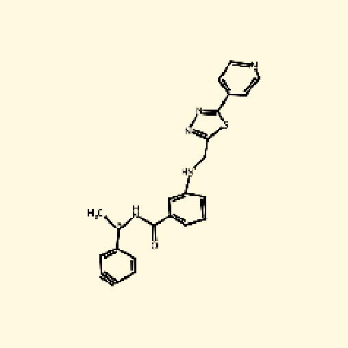 C[C@@H](NC(=O)c1cccc(NCc2nnc(-c3ccncc3)s2)c1)c1cc#ccc1